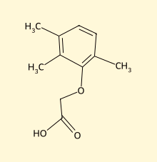 Cc1ccc(C)c(OCC(=O)O)c1C